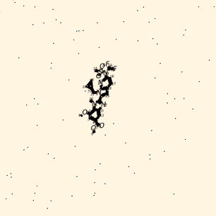 COC(=O)c1cc(OC)c2c(c1)nc(-c1cc3ccc(N(C(F)F)S(C)(=O)=O)nc3n1CC1CC1)n2C